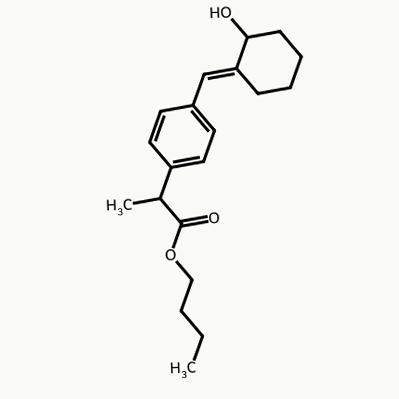 CCCCOC(=O)C(C)c1ccc(C=C2CCCCC2O)cc1